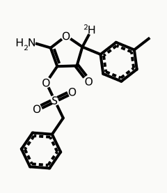 [2H]C1(c2cccc(C)c2)OC(N)=C(OS(=O)(=O)Cc2ccccc2)C1=O